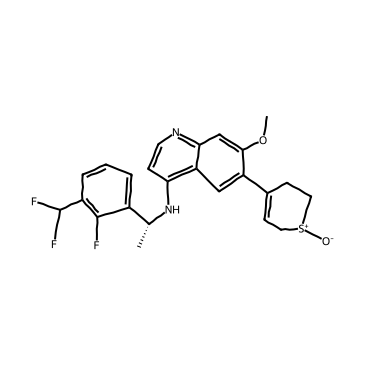 COc1cc2nccc(N[C@H](C)c3cccc(C(F)F)c3F)c2cc1C1=CC[S+]([O-])CC1